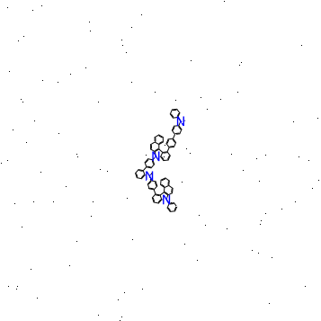 CN(c1ccccc1)c1ccc(-c2ccc(-c3cccc4c3c3c5ccccc5ccc3n4-c3ccc(-c4ccccc4N(C)c4ccc(-c5cccc6c5c5c7ccccc7ccc5n6-c5ccccc5)cc4)cc3)cc2)cc1